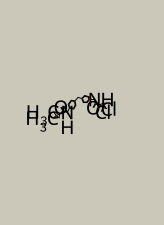 CC1(C)CC1C(=O)Nc1ccc(Cc2ccc(NC(=O)C3CC3(Cl)Cl)cc2)cc1